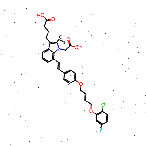 Cc1c(CCCC(=O)O)c2cccc(C=Cc3ccc(OCC=CCOc4cc(F)ccc4Cl)cc3)c2n1CC(=O)O